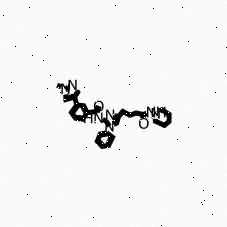 Cn1cc(-c2cccc(C(=O)Nc3nc(CCCC(=O)NN4CCCCC4)cn3-c3ccccc3)c2)cn1